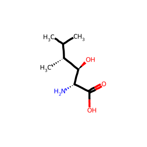 CC(C)[C@@H](C)[C@@H](O)[C@@H](N)C(=O)O